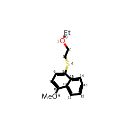 CCOCCSc1ccc(OC)c2ccccc12